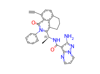 C#Cc1ccc2c3c(c([C@H](C)NC(=O)c4c(N)nn5cccnc45)n(-c4ccccc4)c(=O)c13)CCC2